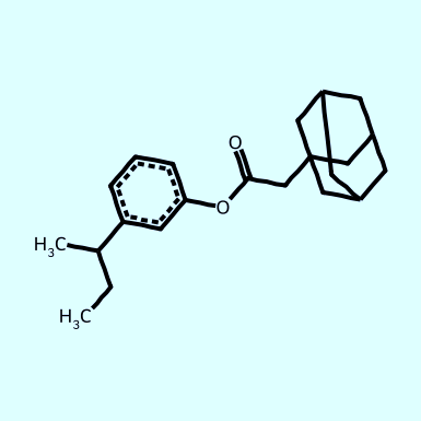 CCC(C)c1cccc(OC(=O)CC23CC4CC(CC(C4)C2)C3)c1